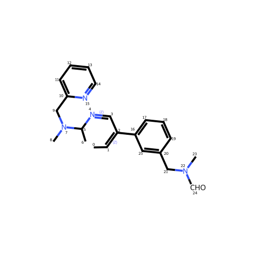 C/C=C(\C=N/C(C)N(C)Cc1ccccn1)c1cccc(CN(C)C=O)c1